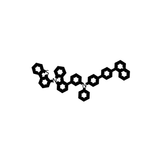 c1ccc(N(c2ccc(-c3ccc(-c4cccc5ccccc45)cc3)cc2)c2cccc(-c3cccc4c3c3ccccc3n4-c3cccc4c3sc3ccccc34)c2)cc1